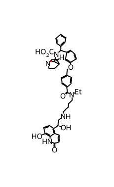 CCN(CCCCNC[C@@H](O)c1ccc(O)c2[nH]c(=O)ccc12)C(=O)c1ccc(COc2cccc(C(c3ccccc3)N(C(=O)O)[C@H]3CN4CCC3CC4)c2)cc1